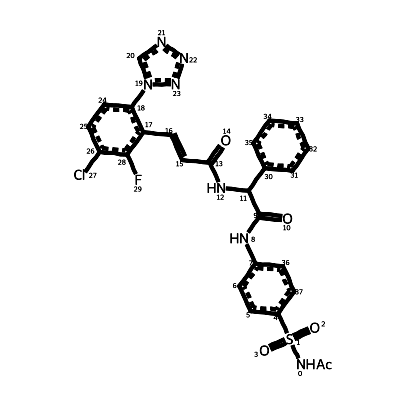 CC(=O)NS(=O)(=O)c1ccc(NC(=O)C(NC(=O)C=Cc2c(-n3cnnn3)ccc(Cl)c2F)c2ccccc2)cc1